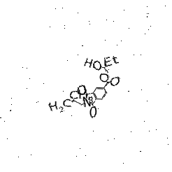 C=C(C)CN1C(=O)c2ccc(C(=O)OCC(O)CC)cc2C1=O